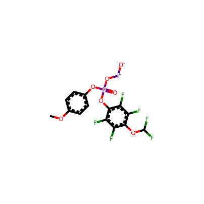 COc1ccc(OP(=O)(O[I+][O-])Oc2c(F)c(F)c(OC(F)F)c(F)c2F)cc1